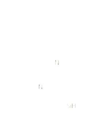 C=CC([SiH3])C(N1CCCCC1)N1CCCCC1